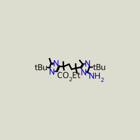 CCOC(=O)c1nc(C(C)(C)C)c(C)nc1C(C)(C)CCC(C)(C)c1nc(N)c(C(C)(C)C)nc1C